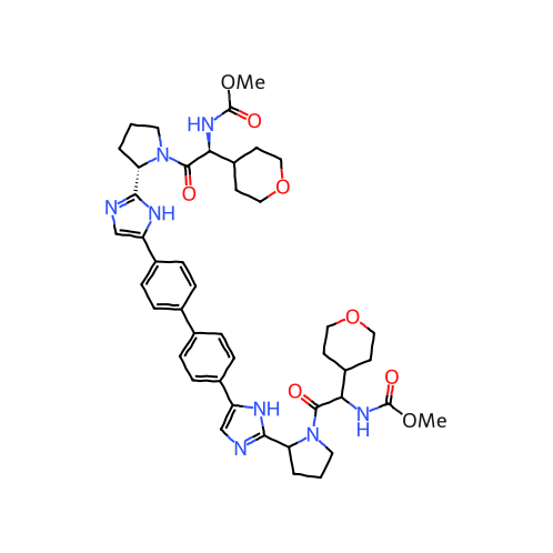 COC(=O)NC(C(=O)N1CCCC1c1ncc(-c2ccc(-c3ccc(-c4cnc([C@@H]5CCCN5C(=O)[C@@H](NC(=O)OC)C5CCOCC5)[nH]4)cc3)cc2)[nH]1)C1CCOCC1